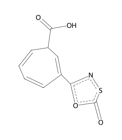 O=C(O)C1C=CC=CC(c2nsc(=O)o2)=C1